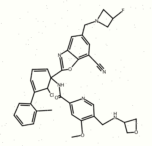 COc1cc(C(=O)NC2(c3nc4cc(CN5CC(F)C5)cc(C#N)c4o3)C=CC=C(c3ccccc3C)C2Cl)ncc1CNC1COC1